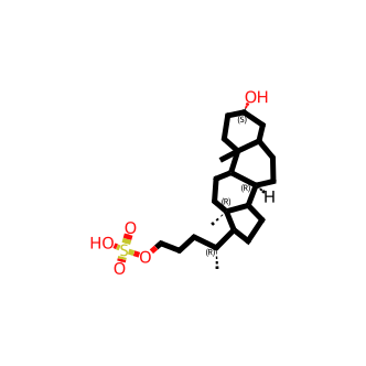 C[C@H](CCCOS(=O)(=O)O)C1CCC2[C@@H]3CCC4C[C@@H](O)CCC4(C)C3CC[C@@]21C